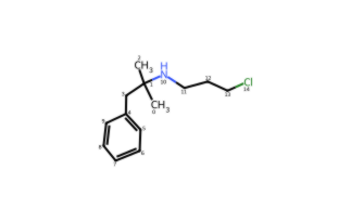 CC(C)(Cc1ccccc1)NCCCCl